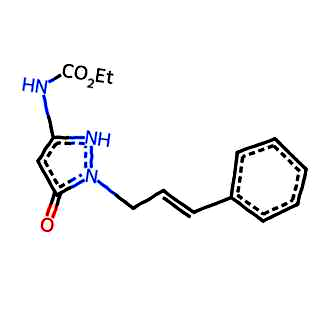 CCOC(=O)Nc1cc(=O)n(CC=Cc2ccccc2)[nH]1